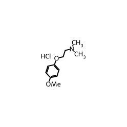 COc1ccc(OCCN(C)C)cc1.Cl